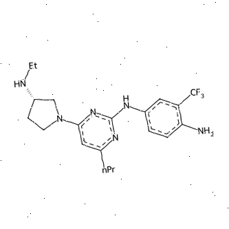 CCCc1cc(N2CC[C@H](NCC)C2)nc(Nc2ccc(N)c(C(F)(F)F)c2)n1